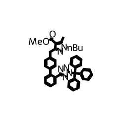 CCCCn1nc(Cc2ccc(-c3ccccc3-c3nnn(C(c4ccccc4)(c4ccccc4)c4ccccc4)n3)cc2)c(C(=O)OC)c1C